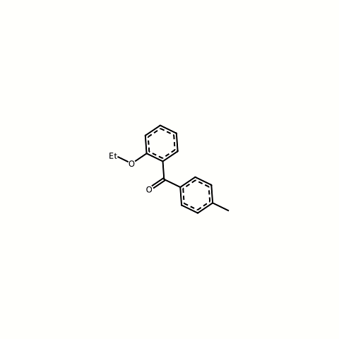 CCOc1ccccc1C(=O)c1ccc(C)cc1